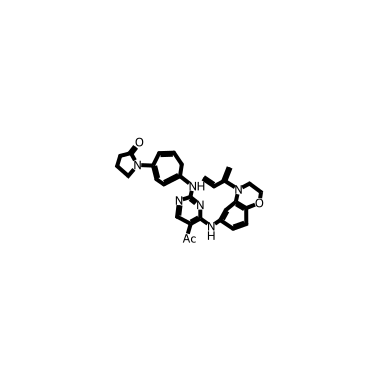 C=CC(=C)N1CCOc2ccc(Nc3nc(NC4=CC=C(N5CCCC5=O)C=CC4)ncc3C(C)=O)cc21